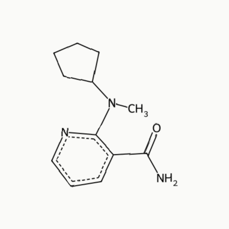 CN(c1ncccc1C(N)=O)C1CCCC1